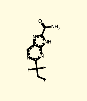 NC(=O)c1nc2cnc(C(F)(F)CF)nc2[nH]1